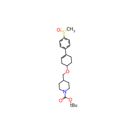 C[S+]([O-])c1ccc(C2=CCC(OCC3CCN(C(=O)OC(C)(C)C)CC3)CC2)cc1